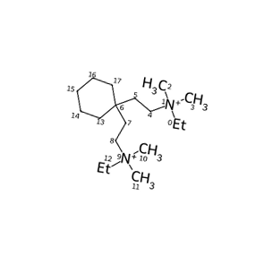 CC[N+](C)(C)CCC1(CC[N+](C)(C)CC)CCCCC1